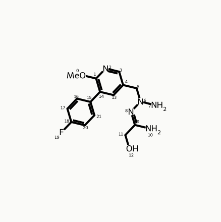 COc1ncc(CN(N)/N=C(\N)CO)cc1-c1ccc(F)cc1